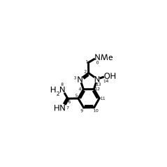 CNCc1nc2c(C(=N)N)cccc2n1O